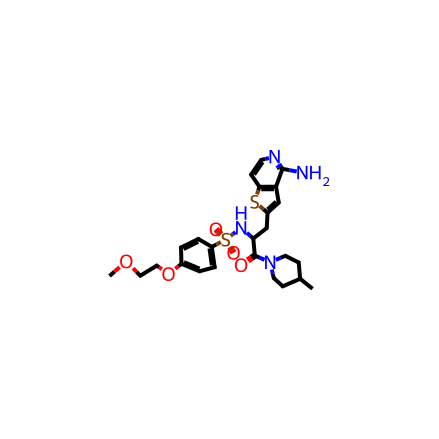 COCCOc1ccc(S(=O)(=O)NC(Cc2cc3c(N)nccc3s2)C(=O)N2CCC(C)CC2)cc1